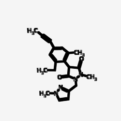 CC#Cc1cc(C)c(C2C(=O)N(C)N(Cc3ccn(C)n3)C2=O)c(CC)c1